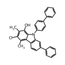 Cc1c(Cl)c(C)c2c3ccc(-c4ccccc4)cc3n(-c3ccc(-c4ccccc4)cc3)c2c1O